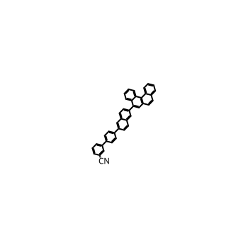 N#Cc1cccc(-c2ccc(-c3ccc4cc(-c5cc6ccc7ccccc7c6c6ccccc56)ccc4c3)cc2)c1